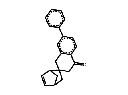 O=C1CC2(Cc3cc(-c4ccccc4)ccc31)CC1C=CC2C1